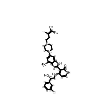 Cc1cc(N2CCN(CCC(F)=C(F)F)CC2)cc2[nH]c(-c3c(NC[C@@H](O)c4cccc(Cl)c4)cc[nH]c3=O)nc12